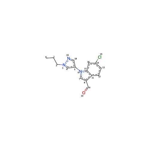 CCCn1cc(-n2cc(C=O)c3ccc(Cl)cc32)cn1